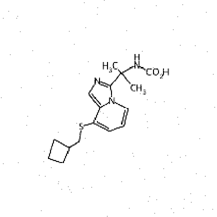 CC(C)(NC(=O)O)c1ncc2c(SCC3CCC3)cccn12